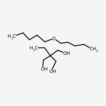 CCC(CO)(CO)CO.CCCCCOCCCCC